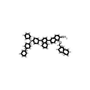 Nc1ccc2cc(-c3ccc(-c4ccc(N(c5ccccc5)c5ccc(-c6ccccc6)cc5)cc4)c4ccccc34)ccc2c1OCc1ccc2ccccc2c1